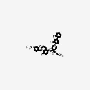 CCOC(=O)C1(COc2ccc(F)c3c2CCC(=O)N3Cc2ccc(OC)cc2)CCN(c2c(F)cc(-c3ccccc3F)c(F)c2Cl)CC1